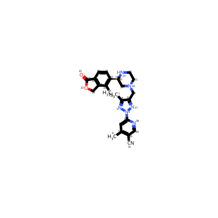 Cc1cc(-n2nc(C)c(CN3CCN[C@H](c4ccc5c(c4C)COC5=O)C3)n2)ncc1C#N